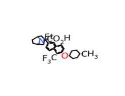 CCC(c1ccc2c(C(F)(F)F)c(O[C@H]3CC[C@@H](C)CC3)ccc2c1)N1C2CCC1CC(C(=O)O)C2